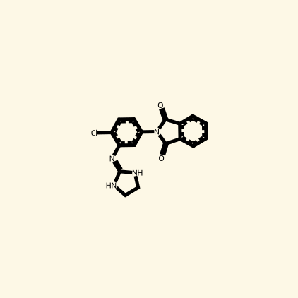 O=C1c2ccccc2C(=O)N1c1ccc(Cl)c(N=C2NCCN2)c1